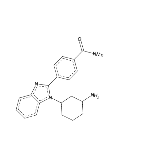 CNC(=O)c1ccc(-c2nc3ccccc3n2C2CCCC(N)C2)cc1